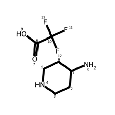 NC1CCNCC1.O=C(O)C(F)(F)F